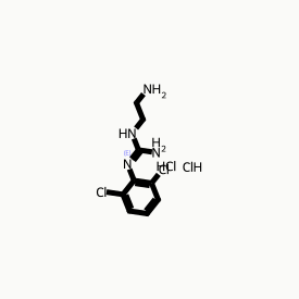 Cl.Cl.NCCN/C(N)=N/c1c(Cl)cccc1Cl